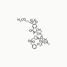 COCCCOc1cc(C(=O)N(C[C@@H]2CN(C(=O)OC(C)(C)C)C[C@H]2CS(=O)(=O)Cc2ccccc2)C(C)C)ccc1OC